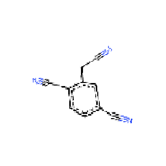 N#CCc1cc(C#N)ccc1C#N